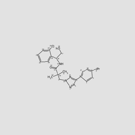 CC(C)c1ccc(-c2nnn(CC(C)(C)C(=O)NC(CO)c3ccccc3Cl)n2)cc1